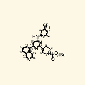 CC(C)(C)OC(=O)N1CC=C(c2nc(Nc3cccc(C(F)(F)F)c3)nc(-c3cccc4cnccc34)n2)CC1